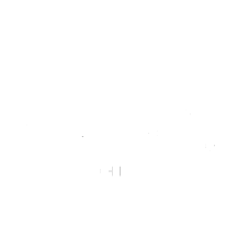 CS(=O)(=O)OCC1(O)CCC1